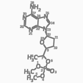 COP(=O)(OC)OC(C)C1CC[C@H](n2cnc3c(N)ncnc32)O1